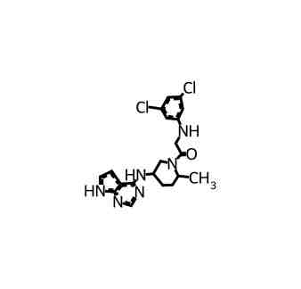 CC1CCC(Nc2ncnc3[nH]ccc23)CN1C(=O)CNc1cc(Cl)cc(Cl)c1